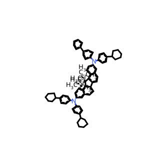 C[Si](C)(C)C1([Si](C)(C)C)c2c(ccc3cc(N(c4ccc(-c5ccccc5)cc4)c4ccc(C5CCCCC5)cc4)ccc23)-c2ccc3cc(N(c4ccc(C5CCCCC5)cc4)c4ccc(C5CCCCC5)cc4)ccc3c21